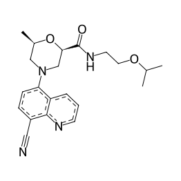 CC(C)OCCNC(=O)[C@H]1CN(c2ccc(C#N)c3ncccc23)C[C@@H](C)O1